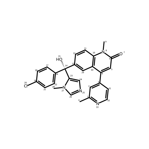 Cc1cc(-c2cc(=O)n(C)c3ccc([C@](O)(c4ccc(Cl)cc4)c4cncn4C)cc23)ccn1